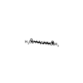 CC(=O)OCCCCCCSCCCCCCOC(C)=O